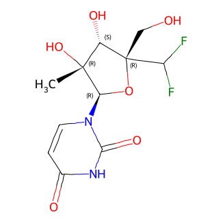 C[C@]1(O)[C@H](n2ccc(=O)[nH]c2=O)O[C@@](CO)(C(F)F)[C@H]1O